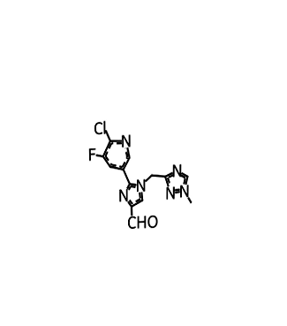 Cn1cnc(Cn2cc(C=O)nc2-c2cnc(Cl)c(F)c2)n1